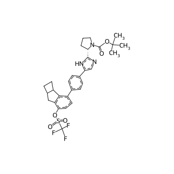 CC(C)(C)OC(=O)N1CCC[C@H]1c1ncc(-c2ccc(-c3ccc(OS(=O)(=O)C(F)(F)F)c4c3C3CCC3C4)cc2)[nH]1